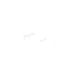 CC(C)CC[O][AlH2]